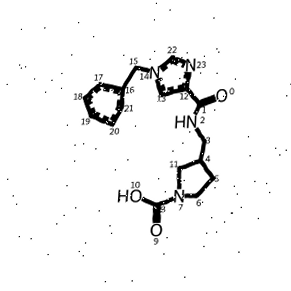 O=C(NCC1CCN(C(=O)O)C1)c1cn(Cc2ccccc2)cn1